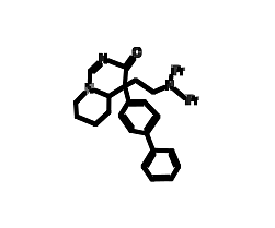 CC(C)N(CCC1(c2ccc(-c3ccccc3)cc2)C(=O)N=CN2CCCCC21)C(C)C